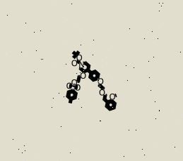 COc1ccccc1CCOCCOc1ccc(C2CCN(C(=O)OC(C)(C)C)CC2OCCOS(=O)(=O)c2ccc(C)cc2)cc1